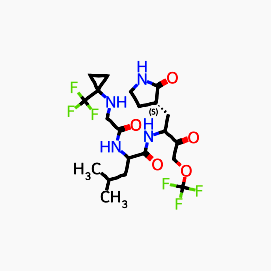 CC(C)CC(NC(=O)CNC1(C(F)(F)F)CC1)C(=O)NC(C[C@@H]1CCNC1=O)C(=O)COC(F)(F)F